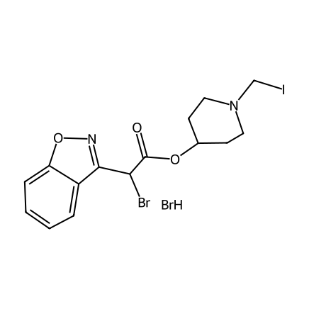 Br.O=C(OC1CCN(CI)CC1)C(Br)c1noc2ccccc12